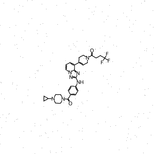 O=C(CCC(F)(F)F)N1CC=C(c2cccn3nc(Nc4ccc(C(=O)N5CCN(C6CC6)CC5)cc4)nc23)CC1